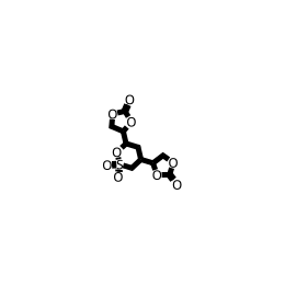 O=C1OCC(C2CC(C3COC(=O)O3)OS(=O)(=O)C2)O1